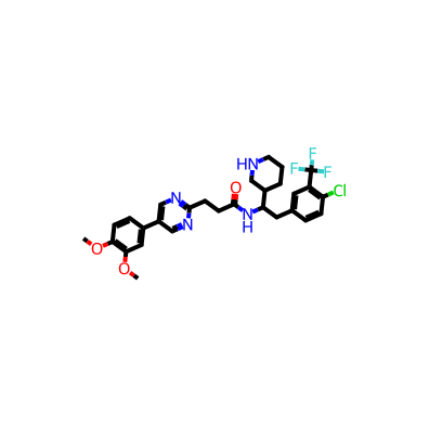 COc1ccc(-c2cnc(CCC(=O)NC(Cc3ccc(Cl)c(C(F)(F)F)c3)C3CCCNC3)nc2)cc1OC